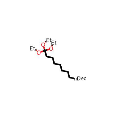 CCCCCCCCCCCCCCCCCC(OCC)(OCC)OCC